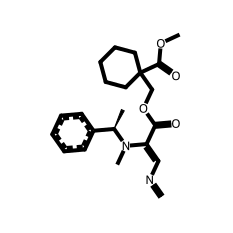 C=N/C=C(/C(=O)OCC1(C(=O)OC)CCCCC1)N(C)[C@H](C)c1ccccc1